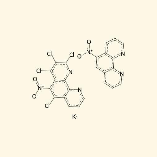 O=[N+]([O-])c1c(Cl)c2cccnc2c2nc(Cl)c(Cl)c(Cl)c12.O=[N+]([O-])c1cc2cccnc2c2ncccc12.[K]